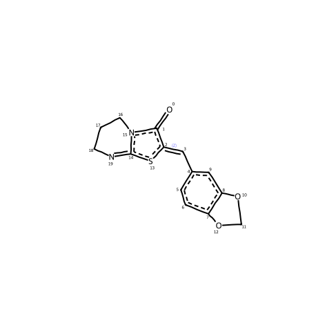 O=c1/c(=C/c2ccc3c(c2)OCO3)sc2n1CCCN=2